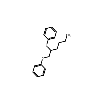 CCCCC(CSc1ccccc1)Sc1ccccc1